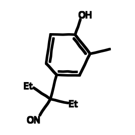 CCC(CC)(N=O)c1ccc(O)c(C)c1